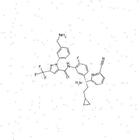 N#Cc1cccc([C@@](N)(CCC2CC2)c2ccc(F)c(NC(=O)c3cc(C(F)(F)F)nn3-c3cccc(CN)c3)c2)n1